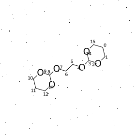 C1COC(OCCOC2OCCCO2)OC1